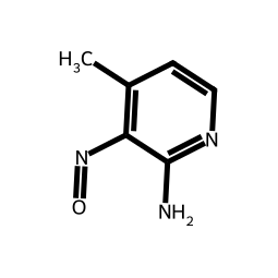 Cc1ccnc(N)c1N=O